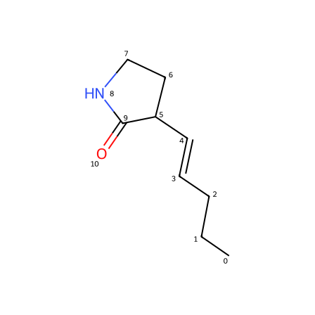 CCCC=CC1CCNC1=O